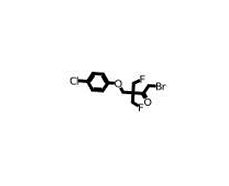 O=C(CBr)C(CF)(CF)COc1ccc(Cl)cc1